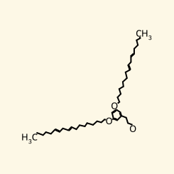 CCCCCC=CCC=CCCCCCCCCOc1cc(CCC=O)cc(OCCCCCCCCC=CCC=CCCCCC)c1